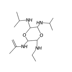 C=C(C)NC1OC(NC(C)C)C(NC(C)C)OC1NCC